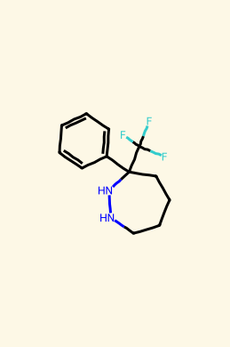 FC(F)(F)C1(c2ccccc2)CCCCNN1